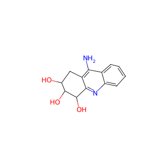 Nc1c2c(nc3ccccc13)C(O)C(O)C(O)C2